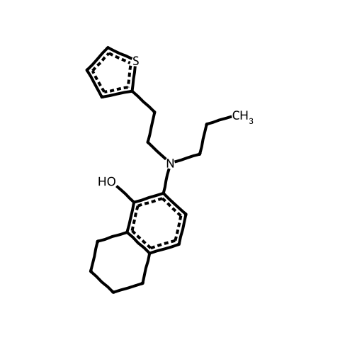 CCCN(CCc1cccs1)c1ccc2c(c1O)CCCC2